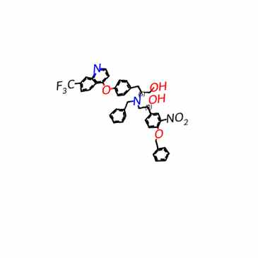 O=[N+]([O-])c1cc([C@@H](O)CN(Cc2ccccc2)[C@H](CO)Cc2ccc(Oc3ccnc4cc(C(F)(F)F)ccc34)cc2)ccc1OCc1ccccc1